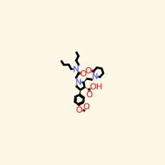 CCCCN(CCCC)C(=O)CN1C[C@H](c2ccc3c(c2)OCO3)[C@@H](C(=O)O)[C@@H]1CCN1CCCCC1=O